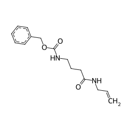 C=CCNC(=O)CCCNC(=O)OCc1ccccc1